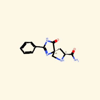 NC(=O)[C@@H]1C[C@]2(CN1)N=C(c1ccccc1)NC2=O